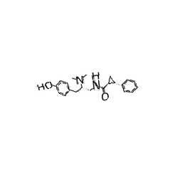 CN(C)[C@H](CNC(=O)[C@H]1C[C@@H]1c1ccccc1)Cc1ccc(O)cc1